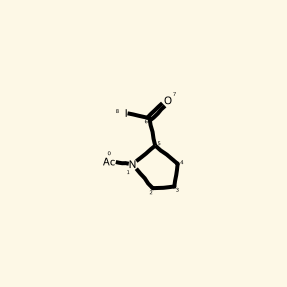 CC(=O)N1CCCC1C(=O)I